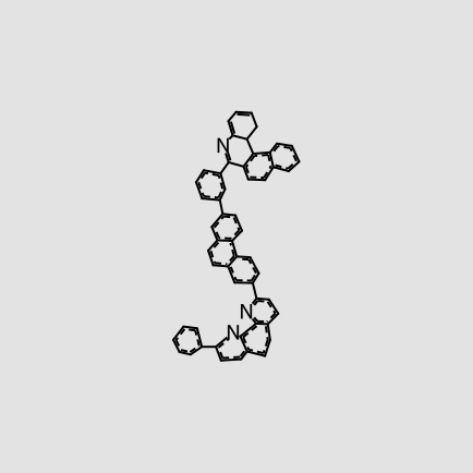 C1=CCC2C(=C1)N=C(c1cccc(-c3ccc4c(ccc5cc(-c6ccc7ccc8ccc(-c9ccccc9)nc8c7n6)ccc54)c3)c1)c1ccc3ccccc3c12